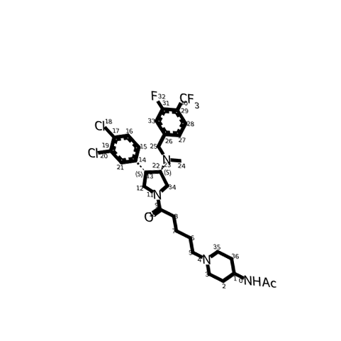 CC(=O)NC1CCN(CCCCC(=O)N2C[C@H](c3ccc(Cl)c(Cl)c3)[C@H](N(C)Cc3ccc(C(F)(F)F)c(F)c3)C2)CC1